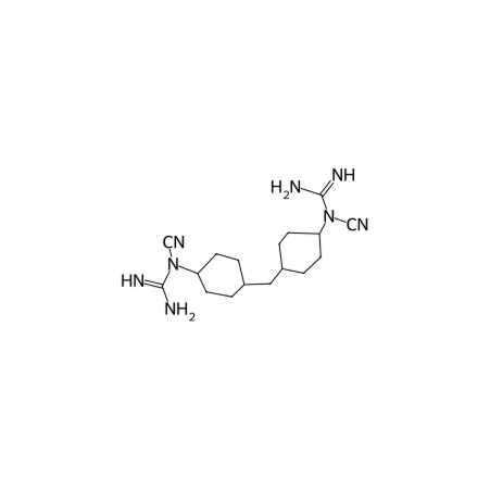 N#CN(C(=N)N)C1CCC(CC2CCC(N(C#N)C(=N)N)CC2)CC1